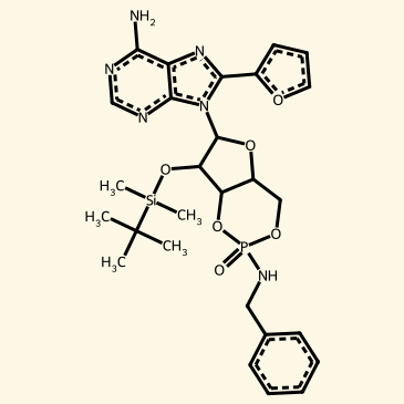 CC(C)(C)[Si](C)(C)OC1C2OP(=O)(NCc3ccccc3)OCC2OC1n1c(-c2ccco2)nc2c(N)ncnc21